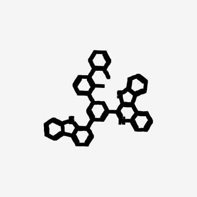 CC1=C(c2cccc(C3C=C(c4cccc5c4sc4ccccc45)C=C(c4nc5ccccc5c5c4sc4ccccc45)C3)c2C)CCC=C1